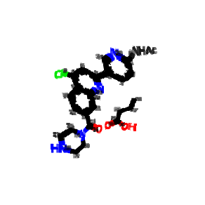 CC(=O)Nc1ccc(-c2cc(Cl)c3ccc(C(=O)N4CCNCC4)cc3n2)cn1.CCCC(=O)O